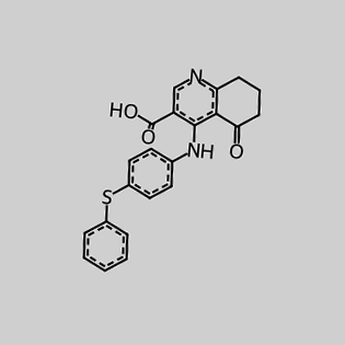 O=C(O)c1cnc2c(c1Nc1ccc(Sc3ccccc3)cc1)C(=O)CCC2